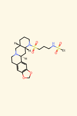 CCS(=O)(=O)NCCCS(=O)(=O)N1CCC[C@H]2CN3CCc4cc5c(cc4[C@@H]3C[C@H]21)OCO5